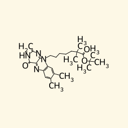 C=c1nc2c(c(=O)[nH]1)=Nc1cc(C)c(C)cc1N2CCCCCC(C)(C)C(=O)OC(C)(C)C